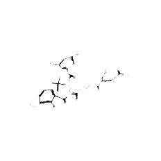 COc1cccc(C(=O)N(C(=O)OCOC(=O)C(N)CC(=O)O)N(C(=O)c2cc(C)cc(C)c2)C(C)(C)C)c1C